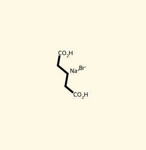 O=C(O)CCCC(=O)O.[Br-].[Na+]